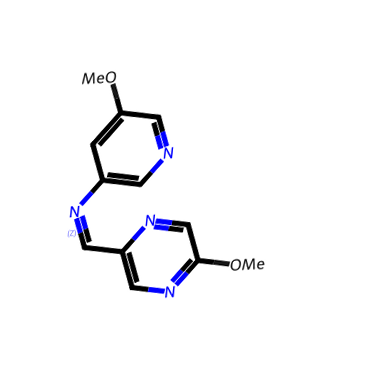 COc1cncc(/N=C\c2cnc(OC)cn2)c1